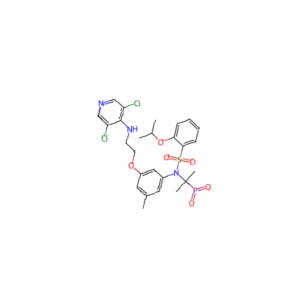 Cc1cc(OCCNc2c(Cl)cncc2Cl)cc(N(C(C)(C)P(=O)=O)S(=O)(=O)c2ccccc2OC(C)C)c1